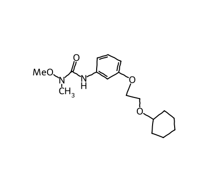 CON(C)C(=O)Nc1cccc(OCCOC2CCCCC2)c1